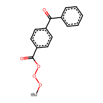 CC(C)(C)OOOC(=O)c1ccc(C(=O)c2ccccc2)cc1